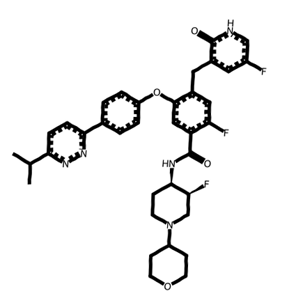 CC(C)c1ccc(-c2ccc(Oc3cc(C(=O)N[C@@H]4CCN(C5CCOCC5)C[C@@H]4F)c(F)cc3Cc3cc(F)c[nH]c3=O)cc2)nn1